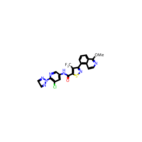 COc1nccc2c(-c3nsc(C(=O)Nc4cnc(-n5nccn5)c(Cl)c4)c3C(F)(F)F)cccc12